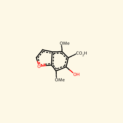 COc1c(C(=O)O)c(O)c(OC)c2occc12